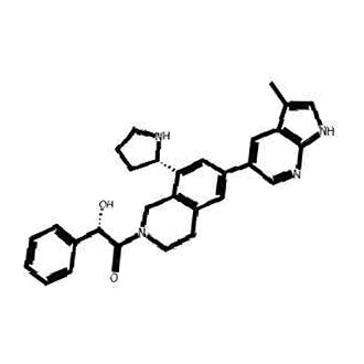 Cc1c[nH]c2ncc(-c3cc4c(c([C@@H]5CCCN5)c3)CN(C(=O)[C@@H](O)c3ccccc3)CC4)cc12